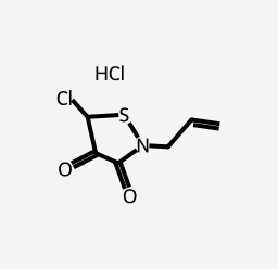 C=CCN1SC(Cl)C(=O)C1=O.Cl